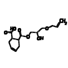 C=CCOCC(O)COC(=O)C1CC=CCC1C(=O)O